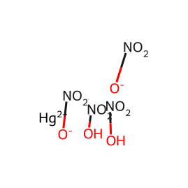 O=[N+]([O-])O.O=[N+]([O-])O.O=[N+]([O-])[O-].O=[N+]([O-])[O-].[Hg+2]